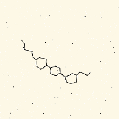 CCCCCC1CCC(C2CCC(C3CCCC(CCC)C3)CC2)CC1